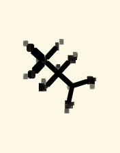 O=S(=O)(I)C(Br)(Br)C(Br)Br